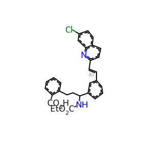 CCOC(=O)NC(CCc1ccccc1C(=O)O)c1cccc(/C=C/c2ccc3ccc(Cl)cc3n2)c1